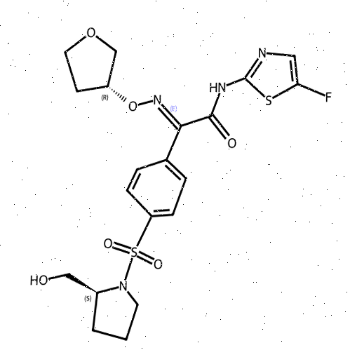 O=C(Nc1ncc(F)s1)/C(=N/O[C@@H]1CCOC1)c1ccc(S(=O)(=O)N2CCC[C@H]2CO)cc1